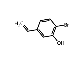 C=Cc1ccc(Br)c(O)c1